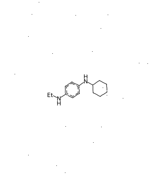 CCNc1ccc(NC2CCCCC2)cc1